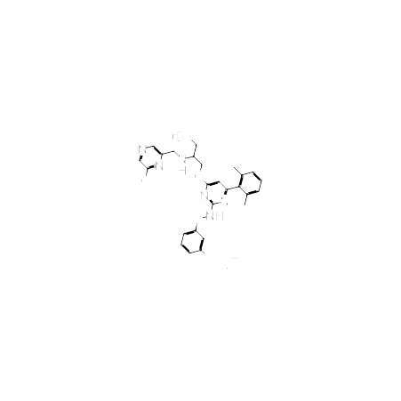 Cc1cccc(C)c1-c1cc(OCC(CC(C)(C)C)NCc2cncc(Cl)n2)nc(NSc2cccc(C(=O)O)c2)n1